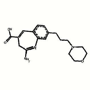 NC1=Nc2cc(CCCN3CCOCC3)ccc2C=C(C(=O)O)C1